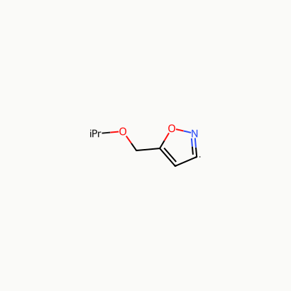 CC(C)OCc1c[c]no1